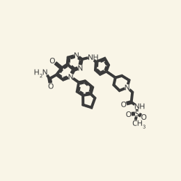 CS(=O)(=O)NC(=O)CN1CCC(c2ccc(Nc3ncc4c(=O)c(C(N)=O)cn(-c5ccc6c(c5)CCC6)c4n3)cc2)CC1